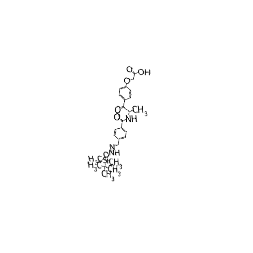 C[C@@H](NC(=O)c1ccc(C=NNO[Si](C)(C)C(C)(C)C)cc1)C(=O)c1ccc(OCC(=O)O)cc1